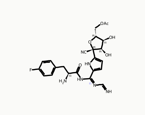 CC(=O)OC[C@H]1O[C@@](C#N)(c2ccc(/C(=N\C=N)NC(=O)[C@@H](N)Cc3ccc(F)cc3)[nH]2)[C@H](O)[C@@H]1O